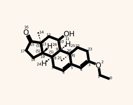 CCOC1=CC2=CC[C@@H]3[C@@H](C(O)C[C@]4(C)C(=O)CC[C@@H]34)[C@@]2(C)CC1